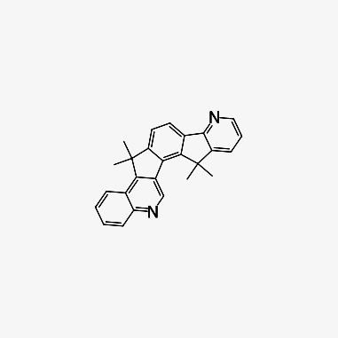 CC1(C)c2cccnc2-c2ccc3c(c21)-c1cnc2ccccc2c1C3(C)C